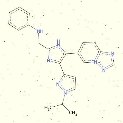 CC(C)n1ccc(-c2nc(CNc3ccccc3)[nH]c2-c2ccc3ncnn3c2)n1